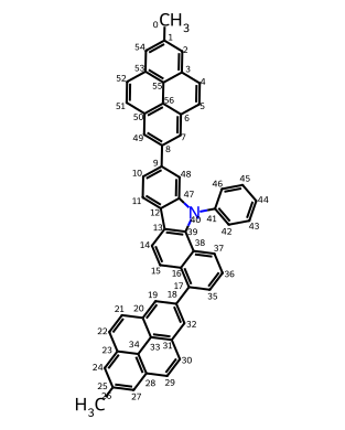 Cc1cc2ccc3cc(-c4ccc5c6ccc7c(-c8cc9ccc%10cc(C)cc%11ccc(c8)c9c%10%11)cccc7c6n(-c6ccccc6)c5c4)cc4ccc(c1)c2c34